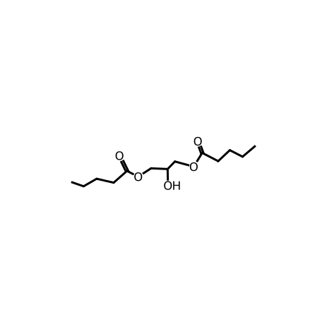 CCCCC(=O)OCC(O)COC(=O)CCCC